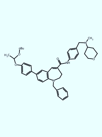 CCCCOC(C)Oc1ccc(-c2ccc3c(c2)C=C(C(=O)Nc2ccc(CN(C)C4CCOCC4)cc2)CCN3Cc2ccccc2)cc1